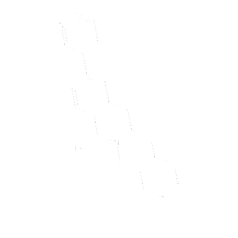 CC(=NO)c1ccc(-c2cccnc2)cc1CCOC1CCCCO1